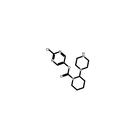 O=C(Oc1cnc(Cl)nc1)N1CCCCC1N1CCNCC1